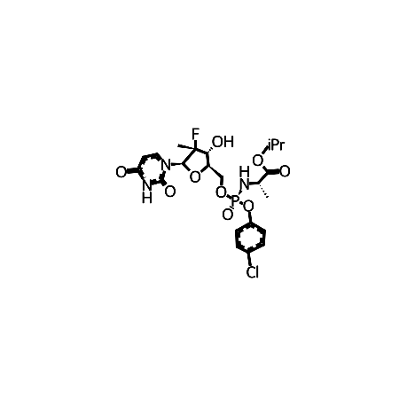 CC(C)OC(=O)[C@H](C)N[P@@](=O)(OC[C@H]1O[C@@H](n2ccc(=O)[nH]c2=O)[C@](C)(F)[C@@H]1O)Oc1ccc(Cl)cc1